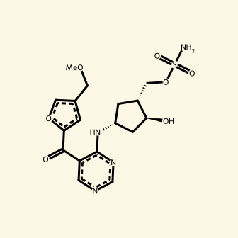 COCc1coc(C(=O)c2cncnc2N[C@@H]2C[C@H](COS(N)(=O)=O)[C@@H](O)C2)c1